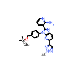 CCn1ncc(-c2ccc3nc(-c4cccnc4N)n(-c4ccc(CO[Si](C)(C)C(C)(C)C)cc4)c3n2)n1